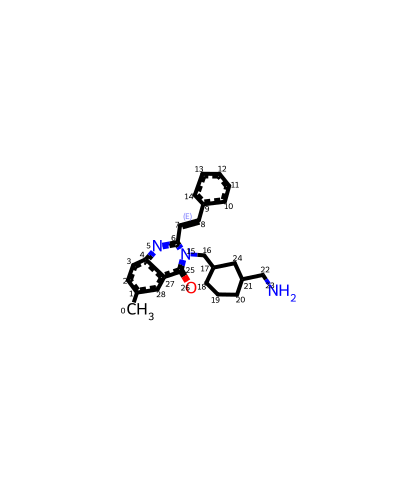 Cc1ccc2nc(/C=C/c3ccccc3)n(CC3CCCC(CN)C3)c(=O)c2c1